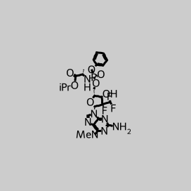 CNc1nc(N)nc2c1ncn2[C@@H]1O[C@H](CO[P@@](=O)(N[C@@H](C)C(=O)OC(C)C)Oc2ccccc2)[C@@H](O)[C@]1(F)C(F)F